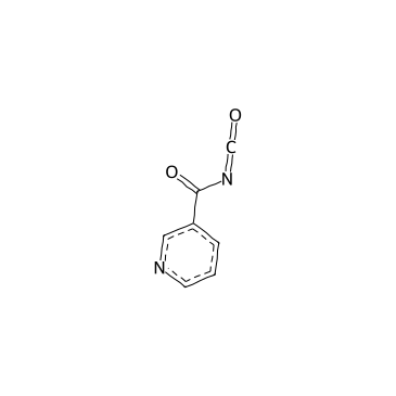 O=C=NC(=O)c1cccnc1